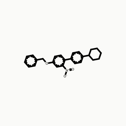 O=[N+]([O-])c1cc(OCc2ccccc2)ccc1-c1ccc(C2CCCCC2)cc1